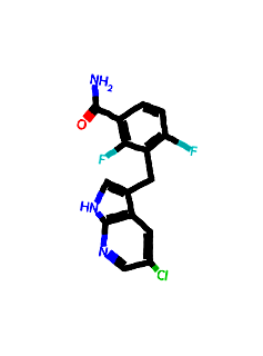 NC(=O)c1ccc(F)c(Cc2c[nH]c3ncc(Cl)cc23)c1F